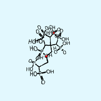 O=P(O)(O)C(CCCC(C(P(=O)(O)O)P(=O)(O)O)(C(P(=O)(O)O)P(=O)(O)O)C(P(=O)(O)O)P(=O)(O)O)P(=O)(O)O